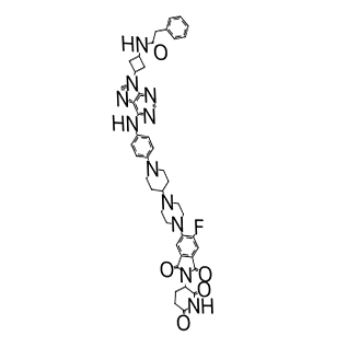 O=C1CC[C@H](N2C(=O)c3cc(F)c(N4CCN(C5CCN(c6ccc(Nc7ncnc8c7ncn8C7CC(NC(=O)Cc8ccccc8)C7)cc6)CC5)CC4)cc3C2=O)C(=O)N1